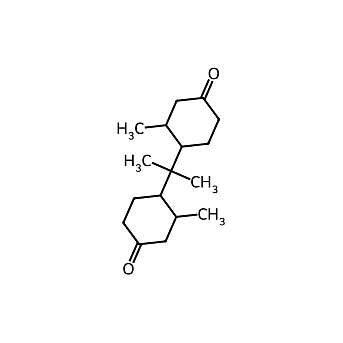 CC1CC(=O)CCC1C(C)(C)C1CCC(=O)CC1C